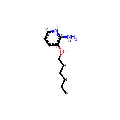 CCCCCCOc1cccnc1N